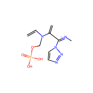 C=CN(COP(=O)(O)O)C(=C)/C(=N/C)n1ccnn1